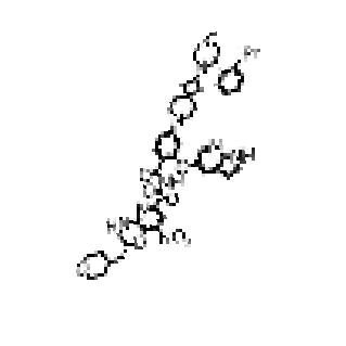 CC(C)c1ccccc1[C@H]1COCCN1C1CC2(CCN(c3ccc(C(=O)NS(=O)(=O)c4cc([N+](=O)[O-])c5c(n4)NC[C@H](CC4CCOCC4)O5)c(Oc4cnc5[nH]ccc5c4)c3)CC2)C1